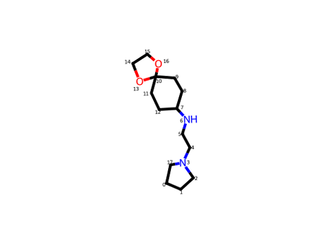 C1CCN(CCNC2CCC3(CC2)OCCO3)C1